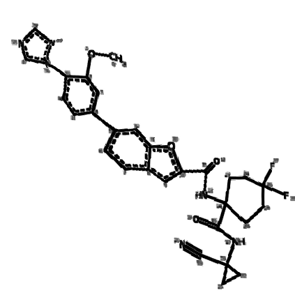 COc1cc(-c2ccc3cc(C(=O)NC4(C(=O)NC5(C#N)CC5)CCC(F)(F)CC4)oc3c2)ccc1-n1cncn1